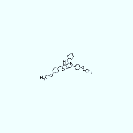 CCOc1ccc(CC(=O)Nc2ncc(-c3ccc(OCC)cc3)nc2Cc2ccccc2)cc1